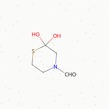 O=[C]N1CCSC(O)(O)C1